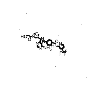 Nc1ncnc2c(C3CCCN(C(=O)CO)C3)nn(-c3ccc(C(=O)Nc4cc(C(F)(F)F)ccn4)cc3)c12